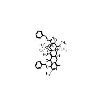 Cc1nc(F)c2c(c1OCc1ccccc1)C(=O)C1=C(O)[C@]3(O[Si](C)(C)C(C)(C)C)C(=O)c4c(OCc5ccccc5)noc4[C@@H](N(C)C)[C@@H]3C[C@@H]1C2